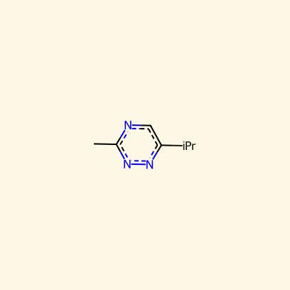 Cc1ncc(C(C)C)nn1